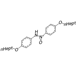 CCCCCCCOc1ccc(N[N+](=O)c2ccc(OCCCCCCC)cc2)cc1